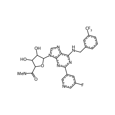 CNC(=O)C1OC(n2cnc3c(NCc4cccc(C(F)(F)F)c4)nc(-c4cncc(F)c4)nc32)C(O)C1O